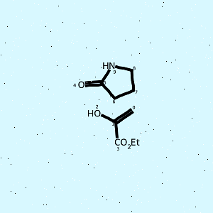 C=C(O)C(=O)OCC.O=C1CCCN1